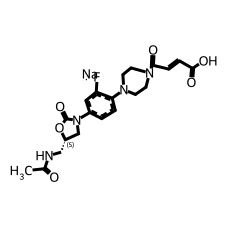 CC(=O)NC[C@H]1CN(c2ccc(N3CCN(C(=O)C=CC(=O)O)CC3)c(F)c2)C(=O)O1.[Na]